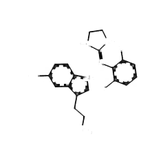 Clc1cccc(Cl)c1N=C1NCCN1.NCCc1c[nH]c2ccc(O)cc12